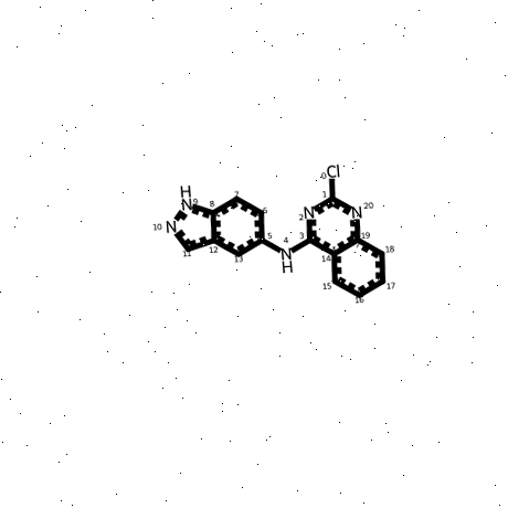 Clc1nc(Nc2ccc3[nH]ncc3c2)c2ccccc2n1